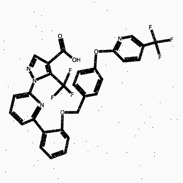 O=C(O)c1cnn(-c2cccc(-c3ccccc3OCc3ccc(Oc4ccc(C(F)(F)F)cn4)cc3)n2)c1C(F)(F)F